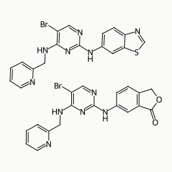 Brc1cnc(Nc2ccc3ncsc3c2)nc1NCc1ccccn1.O=C1OCc2ccc(Nc3ncc(Br)c(NCc4ccccn4)n3)cc21